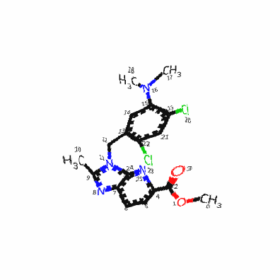 COC(=O)c1ccc2nc(C)n(Cc3cc(N(C)C)c(Cl)cc3Cl)c2n1